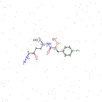 CCO[C@@H](Cc1ccc(F)cc1)C(=O)N[C@@H](CCC(=O)C=[N+]=[N-])C(=O)O